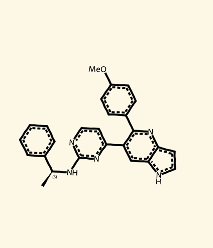 COc1ccc(-c2nc3cc[nH]c3cc2-c2ccnc(N[C@@H](C)c3ccccc3)n2)cc1